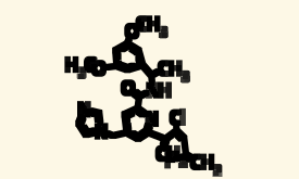 C=C(F)/C=C(/Cl)C(=C)c1cc(Cn2ccnc2)cc(C(=O)NC(C)c2cc(OC)cc(OC)c2)n1